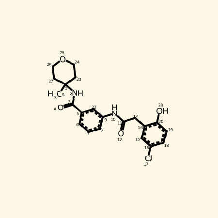 CC1(NC(=O)c2cccc(NC(=O)Cc3cc(Cl)ccc3O)c2)CCOCC1